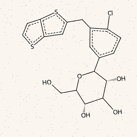 OCC1OC(c2ccc(Cl)c(Cc3cc4sccc4s3)c2)[C@H](O)C(O)[C@@H]1O